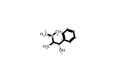 CC([C@@H](O)c1ccccc1)N(C)C